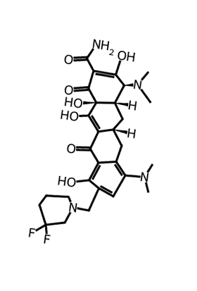 CN(C)c1cc(CN2CCCC(F)(F)C2)c(O)c2c1C[C@H]1C[C@H]3[C@H](N(C)C)C(O)=C(C(N)=O)C(=O)[C@@]3(O)C(O)=C1C2=O